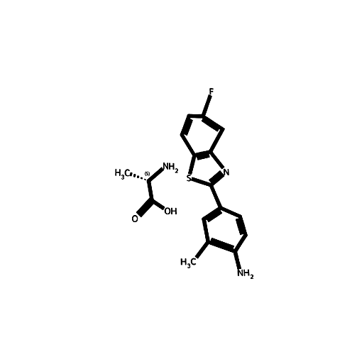 C[C@H](N)C(=O)O.Cc1cc(-c2nc3cc(F)ccc3s2)ccc1N